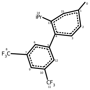 Cc1ccc(-c2cc(C(F)(F)F)cc(C(F)(F)F)c2)c(C(C)C)c1